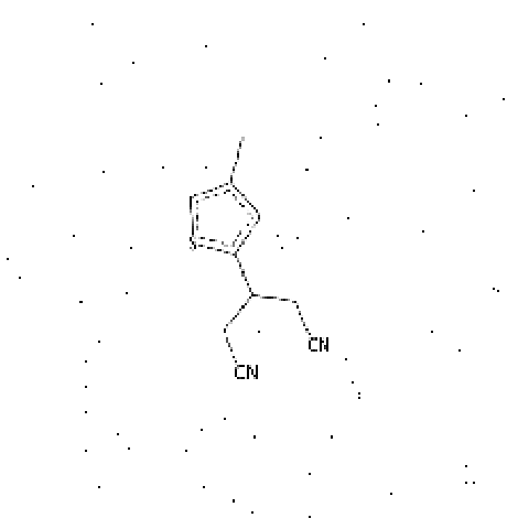 Cc1csc(C(CC#N)CC#N)c1